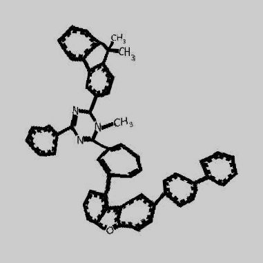 CN1C(C2=CCC=CC(c3cccc4oc5ccc(-c6ccc(-c7ccccc7)cc6)cc5c34)=C2)=NC(c2ccccc2)=NC1c1ccc2c(c1)-c1ccccc1C2(C)C